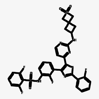 O=S1(=O)CC2(CC(Nc3nccc(-c4sc(-c5ccccc5F)nc4-c4cccc(NS(=O)(=O)c5c(F)cccc5F)c4F)n3)C2)C1